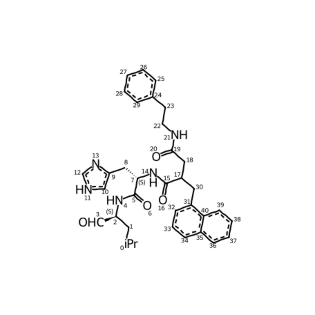 CC(C)C[C@@H](C=O)NC(=O)[C@H](Cc1c[nH]cn1)NC(=O)C(CC(=O)NCCc1ccccc1)Cc1cccc2ccccc12